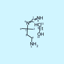 CC(C)(CCN)N=C=N.CCO.Cl